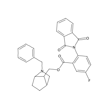 O=C(OCC1C2CCC1N(Cc1ccccc1)C2)c1cc(F)ccc1N1C(=O)c2ccccc2C1=O